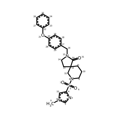 Cn1cnc(S(=O)(=O)N2CCCC3(CCN(Cc4ccc(Oc5ccccc5)cc4)C3=O)C2)c1